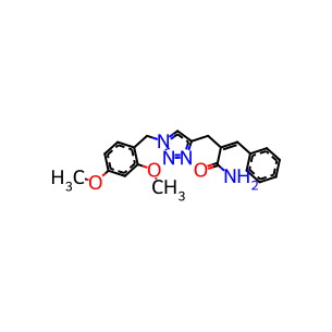 COc1ccc(Cn2cc(CC(=Cc3ccccc3)C(N)=O)nn2)c(OC)c1